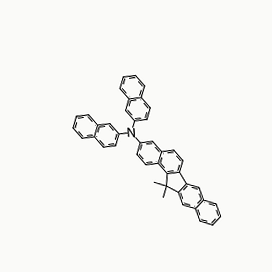 CC1(C)c2cc3ccccc3cc2-c2ccc3cc(N(c4ccc5ccccc5c4)c4ccc5ccccc5c4)ccc3c21